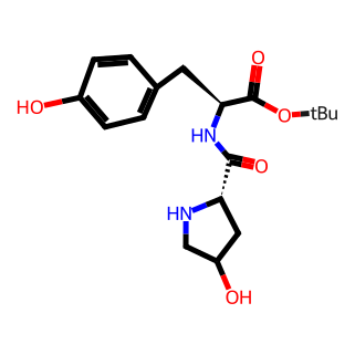 CC(C)(C)OC(=O)[C@H](Cc1ccc(O)cc1)NC(=O)[C@@H]1CC(O)CN1